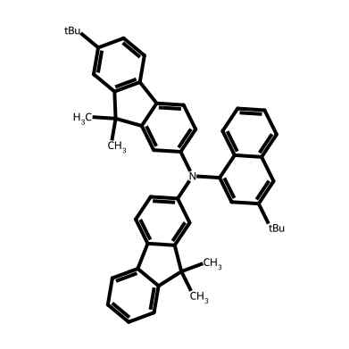 CC(C)(C)c1ccc2c(c1)C(C)(C)c1cc(N(c3ccc4c(c3)C(C)(C)c3ccccc3-4)c3cc(C(C)(C)C)cc4ccccc34)ccc1-2